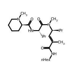 CCCCCCNC(=O)/C(C)=C/[C@H](C(C)C)N(C)C(=O)[C@@H](NC(=O)[C@H]1CCCCN1C)C(C)C